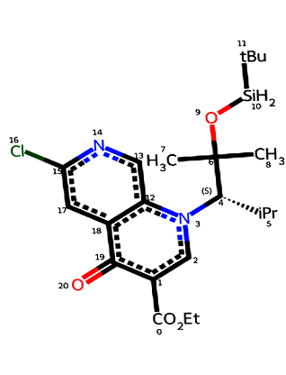 CCOC(=O)c1cn([C@@H](C(C)C)C(C)(C)O[SiH2]C(C)(C)C)c2cnc(Cl)cc2c1=O